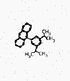 CC(C)c1[c]c(C(C)C)cc(-c2c3ccccc3cc3ccccc23)c1